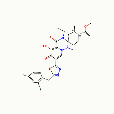 C=C(OC)[C@@H]1CCC2(C[C@H]1C)N(CC)C(=O)c1c(O)c(=O)c(-c3nnc(Cc4ccc(F)cc4F)s3)cn1N2C